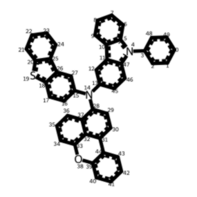 c1ccc(-n2c3ccccc3c3cc(N(c4ccc5sc6ccccc6c5c4)c4ccc5c6c(cccc46)Oc4ccccc4-5)ccc32)cc1